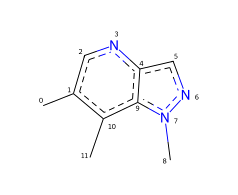 Cc1cnc2cnn(C)c2c1C